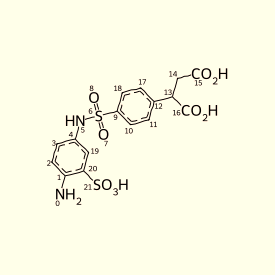 Nc1ccc(NS(=O)(=O)c2ccc(C(CC(=O)O)C(=O)O)cc2)cc1S(=O)(=O)O